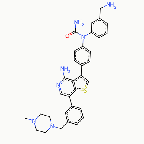 CN1CCN(Cc2cccc(-c3cnc(N)c4c(-c5ccc(N(C(N)=O)c6cccc(CN)c6)cc5)csc34)c2)CC1